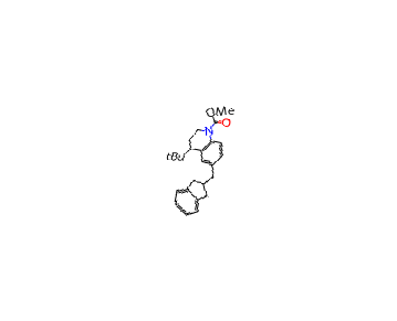 COC(=O)N1CCC(C(C)(C)C)c2cc(CC3Cc4ccccc4C3)ccc21